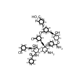 NC(=O)c1ccncc1[C@H]1CCC[C@@](O)(C#Cc2cccc(Cl)c2)C1.N[C@@H]1CCC[C@](O)(C#Cc2cccc(Cl)c2)C1.O=C(N[C@@H]1CCC[C@](O)(C#Cc2cccc(Cl)c2)C1)c1ccncc1.O=C(O)c1ncc(F)cc1F